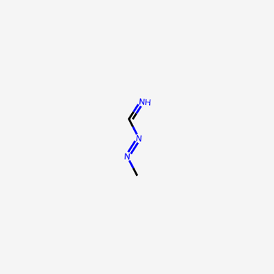 CN=NC=N